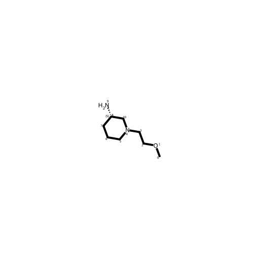 COCCN1CCC[C@H](N)C1